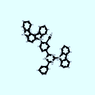 N#Cc1cc(-c2nc(-c3ccccc3)nc(-n3c4ccccc4c4ccccc43)n2)ccc1-n1c2ccccc2c2c3c(ccc21)sc1ccccc13